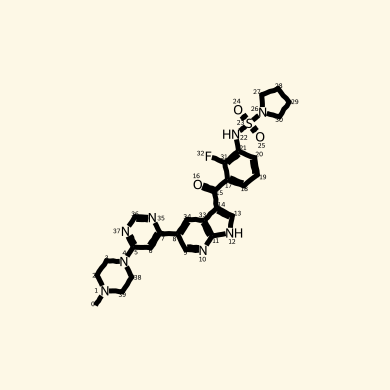 CN1CCN(c2cc(-c3cnc4[nH]cc(C(=O)c5cccc(NS(=O)(=O)N6CCCC6)c5F)c4c3)ncn2)CC1